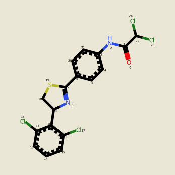 O=C(Nc1ccc(C2=NC(c3c(Cl)cccc3Cl)CS2)cc1)C(Cl)Cl